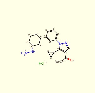 COC(=O)c1cnn(-c2cccc([C@H]3CCC[C@@H](NN)C3)c2)c1C1CC1.Cl